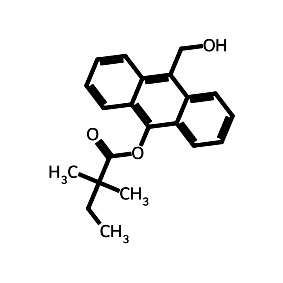 CCC(C)(C)C(=O)Oc1c2ccccc2c(CO)c2ccccc12